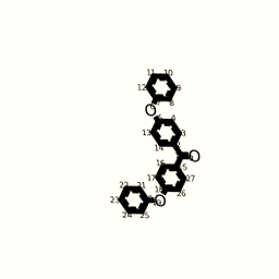 O=C(c1ccc(Oc2ccccc2)cc1)c1ccc(Oc2ccccc2)cc1